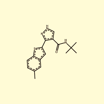 Cc1ccc2sc(-c3n[nH]cc3C(=O)NC(C)(C)C)cc2c1